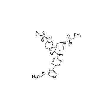 CCOc1cncc(-c2ccc(NC(=O)C3(c4nccc(NS(=O)(=O)C5CC5)n4)CCN(S(=O)(=O)CC)CC3)nc2)n1